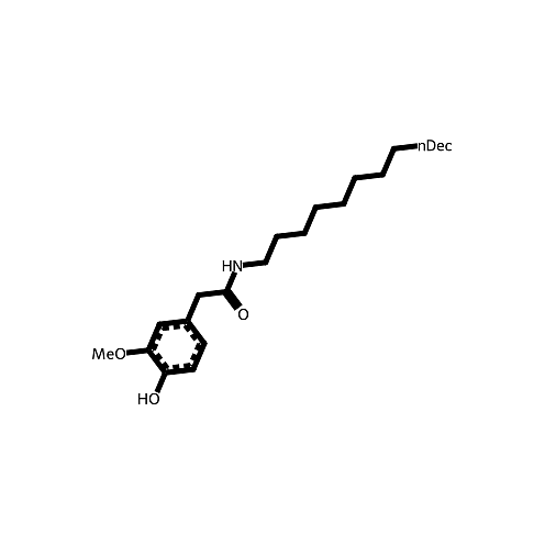 CCCCCCCCCCCCCCCCCCNC(=O)Cc1ccc(O)c(OC)c1